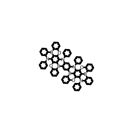 c1ccc(N2c3ccccc3B3c4ccccc4Oc4c3c2c2c3c4N(c4ccccc4)c4cc5c(cc4B3c3ccccc3O2)B2c3ccccc3Oc3c2c(c2c4c3N(c3ccccc3)c3ccccc3B4c3ccccc3O2)N5c2ccccc2)cc1